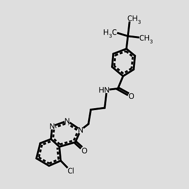 CC(C)(C)c1ccc(C(=O)NCCCn2nnc3cccc(Cl)c3c2=O)cc1